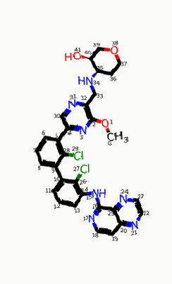 COc1nc(-c2cccc(-c3cccc(Nc4nccc5nccnc45)c3Cl)c2Cl)cnc1CN[C@@H]1CCOC[C@@H]1O